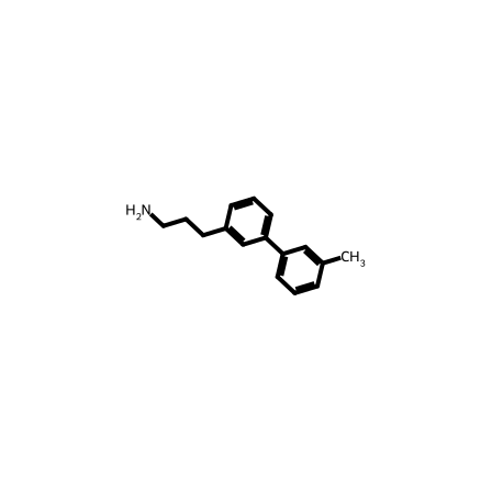 Cc1cccc(-c2cccc(CCCN)c2)c1